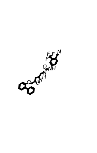 N#Cc1ccc(NC(=O)NCC2=NOC(COc3ccccc3-c3ccccc3)C2)cc1C(F)(F)F